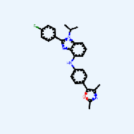 Cc1nc(C)c(-c2ccc(Nc3cccc4c3nc(-c3ccc(F)cc3)n4C(C)C)cc2)o1